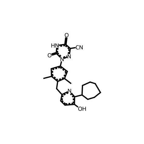 Cc1cc(-n2nc(C#N)c(=O)[nH]c2=O)cc(C)c1Cc1ccc(O)c(C2CCCCCC2)n1